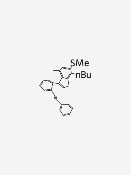 CCCCc1c(SC)cc(C)c2c1CC=C2c1ccccc1C#Cc1ccccc1